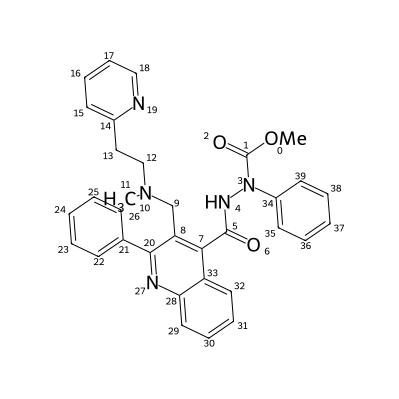 COC(=O)N(NC(=O)c1c(CN(C)CCc2ccccn2)c(-c2ccccc2)nc2ccccc12)c1ccccc1